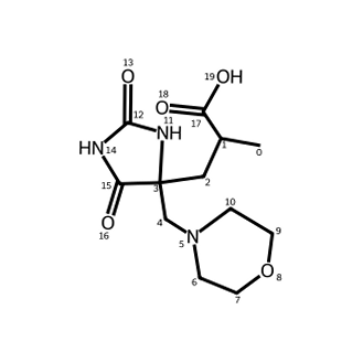 CC(CC1(CN2CCOCC2)NC(=O)NC1=O)C(=O)O